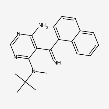 CN(c1ncnc(N)c1C(=N)c1cccc2ccccc12)C(C)(C)C